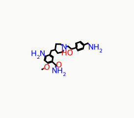 COc1cc(N)c(CC2CCN(CC(O)c3ccc(CN)cc3)CC2)cc1C(N)=O